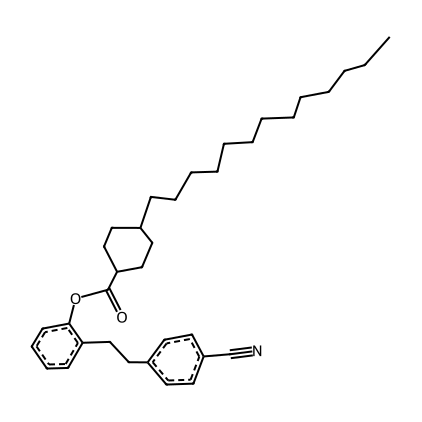 CCCCCCCCCCCCCC1CCC(C(=O)Oc2ccccc2CCc2ccc(C#N)cc2)CC1